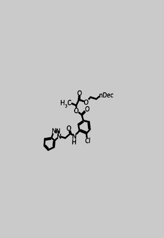 CCCCCCCCCCCCOC(=O)C(C)OC(=O)c1ccc(Cl)c(NC(=O)Cn2nnc3ccccc32)c1